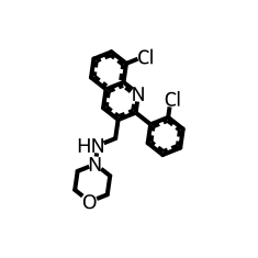 Clc1ccccc1-c1nc2c(Cl)cccc2cc1CNN1CCOCC1